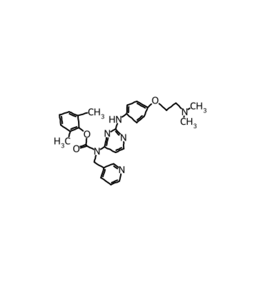 Cc1cccc(C)c1OC(=O)N(Cc1cccnc1)c1ccnc(Nc2ccc(OCCN(C)C)cc2)n1